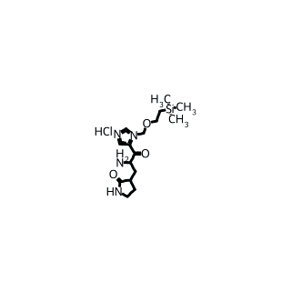 C[Si](C)(C)CCOCn1cncc1C(=O)C(N)CC1CCNC1=O.Cl